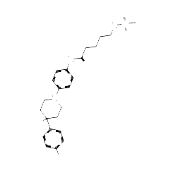 CC(C)S(=O)(=O)NCCCCC(=O)Nc1ccc(N2CCC(O)(c3ccc(Cl)cc3)CC2)cc1